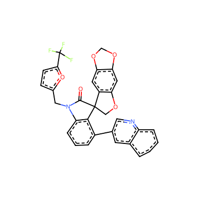 O=C1N(Cc2ccc(C(F)(F)F)o2)c2cccc(-c3cnc4ccccc4c3)c2C12COc1cc3c(cc12)OCO3